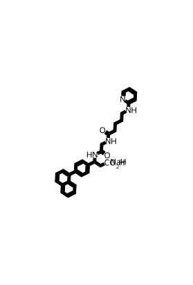 O=C(O)CC(NC(=O)CNC(=O)CCCCNc1ccccn1)c1ccc(-c2cccc3ccccc23)cc1.[NaH]